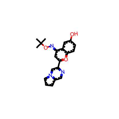 CC(C)(C)ON=c1cc(-c2cn3cccc3cn2)oc2ccc(O)cc12